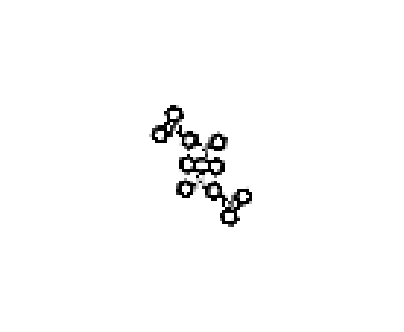 c1ccc(N(c2ccc(-n3c4ccccc4c4ccccc43)cc2)c2c3ccccc3c(N(c3ccccc3)c3ccc(-n4c5ccccc5c5ccccc54)cc3)c3ccccc23)cc1